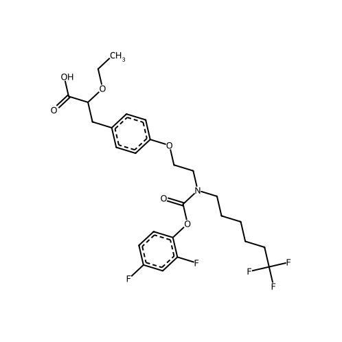 CCOC(Cc1ccc(OCCN(CCCCCC(F)(F)F)C(=O)Oc2ccc(F)cc2F)cc1)C(=O)O